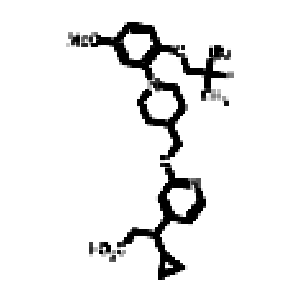 COc1ccc(OCC(C)(F)C(C)(C)C)c(N2CCC(COc3cc(C(CC(=O)O)C4CC4)ccn3)CC2)c1